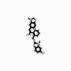 CN1CSc2ccc(/C=C(/Cl)C3=C(C=C=C4Sc5ccc(Cl)cc5N4C)CC=CC3=O)cc21